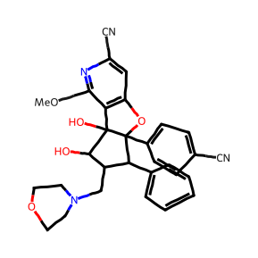 COc1nc(C#N)cc2c1C1(O)C(O)C(CN3CCOCC3)C(c3ccccc3)C1(c1ccc(C#N)cc1)O2